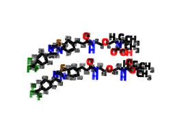 CC(C)(C)N(CCOCCNC(=O)CCc1ccc2c(c1)sc1nc(-c3ccc(C(F)(F)F)cc3)cn12)C(=O)O.CC(C)(C)OC(=O)NCCOCCNC(=O)CCc1ccc2c(c1)sc1nc(-c3ccc(C(F)(F)F)cc3)cn12